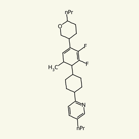 CCCc1ccc(C2CCC(C3C(F)=C(F)C(C4CCC(CCC)OC4)=CC3C)CC2)nc1